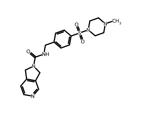 CN1CCN(S(=O)(=O)c2ccc(CNC(=O)N3Cc4ccncc4C3)cc2)CC1